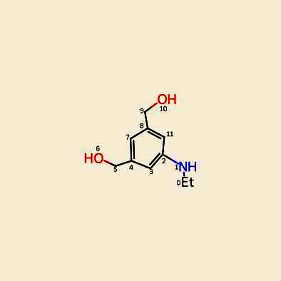 CCNc1cc(CO)cc(CO)c1